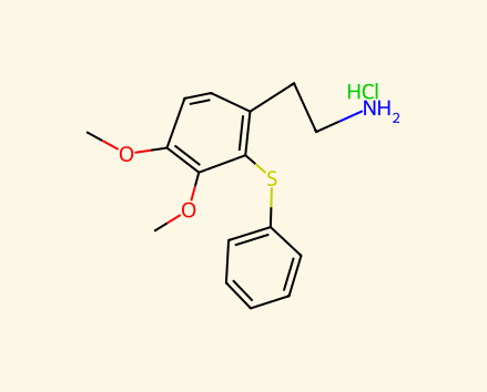 COc1ccc(CCN)c(Sc2ccccc2)c1OC.Cl